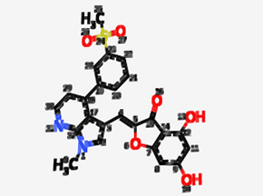 Cn1cc(C=C2Oc3cc(O)cc(O)c3C2=O)c2c(-c3cccc(S(C)(=O)=O)c3)ccnc21